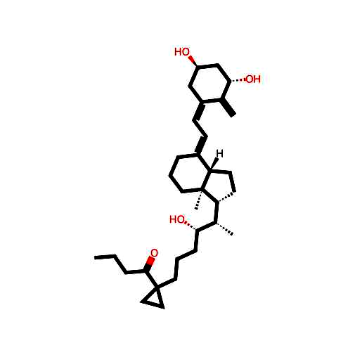 C=C1/C(=C\C=C2/CCC[C@]3(C)[C@@H]([C@H](C)[C@@H](O)CCCC4(C(=O)CCC)CC4)CC[C@@H]23)C[C@@H](O)C[C@@H]1O